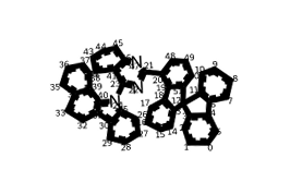 c1ccc2c(c1)-c1ccccc1C21c2ccccc2-c2c(-c3nc(-n4c5ccccc5c5ccc6ccccc6c54)c4ccccc4n3)cccc21